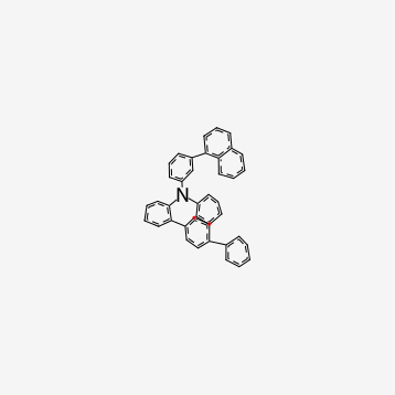 c1ccc(-c2ccc(-c3ccccc3N(c3ccccc3)c3cccc(-c4cccc5ccccc45)c3)cc2)cc1